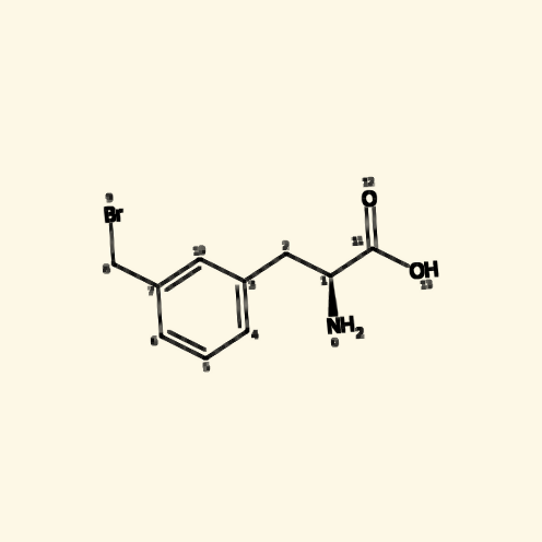 N[C@@H](Cc1cccc(CBr)c1)C(=O)O